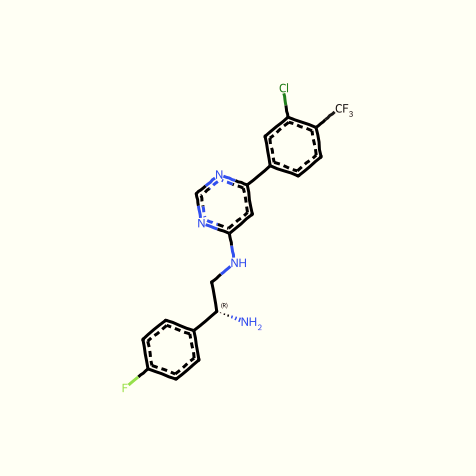 N[C@@H](CNc1cc(-c2ccc(C(F)(F)F)c(Cl)c2)ncn1)c1ccc(F)cc1